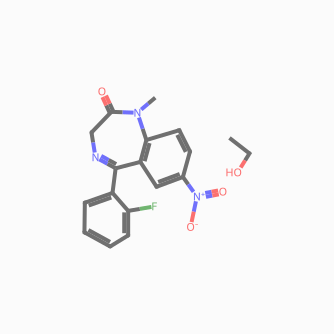 CCO.CN1C(=O)CN=C(c2ccccc2F)c2cc([N+](=O)[O-])ccc21